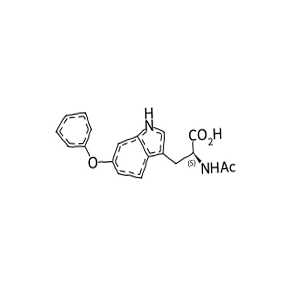 CC(=O)N[C@@H](Cc1c[nH]c2cc(Oc3ccccc3)ccc12)C(=O)O